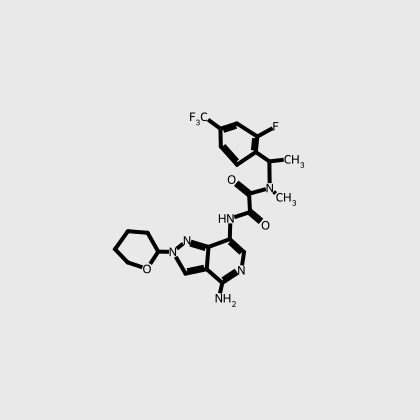 CC(c1ccc(C(F)(F)F)cc1F)N(C)C(=O)C(=O)Nc1cnc(N)c2cn(C3CCCCO3)nc12